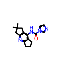 CC1(C)Cc2nc3c(c(NC(=O)n4ccnc4)c2C1)CCC3